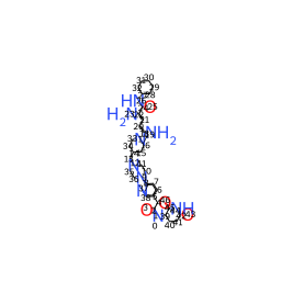 CN(C(=O)Cc1ccc(N2CCN(CC3CCN(/C(N)=C/C=C(\N)C(=O)NC4CCCCC4)CC3)CC2)nc1)C1CCC(=O)NC1=O